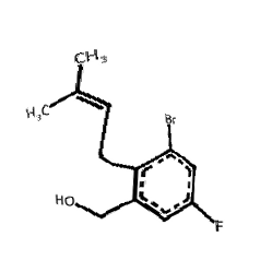 CC(C)=CCc1c(Br)cc(F)cc1CO